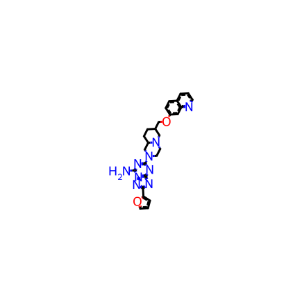 Nc1nc(N2CCN3CC(COc4ccc5cccnc5c4)CCC3C2)nc2nc(-c3ccco3)nn12